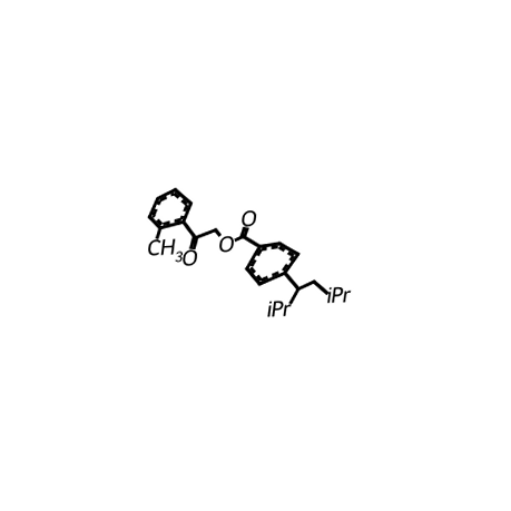 Cc1ccccc1C(=O)COC(=O)c1ccc(C(CC(C)C)C(C)C)cc1